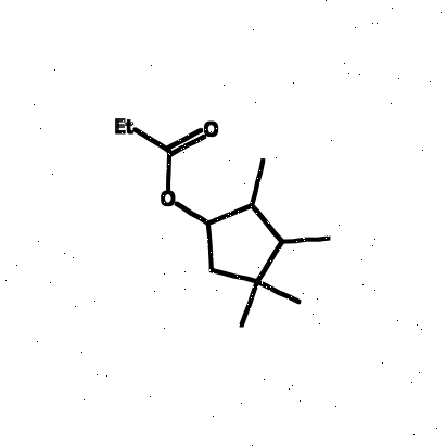 CCC(=O)OC1CC(C)(C)C(C)C1C